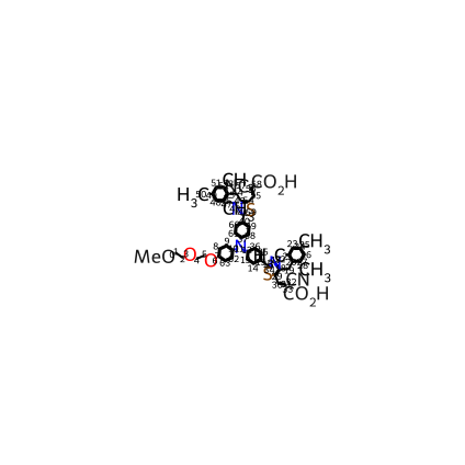 COCCOCCOc1ccc(N(c2ccc(-c3nc(Cc4c(C)cc(C)cc4C)c(/C=C(\C#N)C(=O)O)s3)cc2)c2ccc(-c3nc(Cc4c(C)cc(C)cc4C)c(/C=C(\C#N)C(=O)O)s3)cc2)cc1